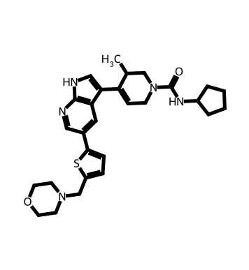 CC1CN(C(=O)NC2CCCC2)CC=C1c1c[nH]c2ncc(-c3ccc(CN4CCOCC4)s3)cc12